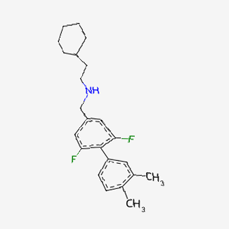 Cc1ccc(-c2c(F)cc(CNCCC3CCCCC3)cc2F)cc1C